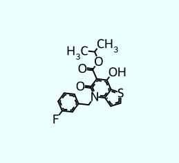 CC(C)OC(=O)c1c(O)c2sccc2n(Cc2cccc(F)c2)c1=O